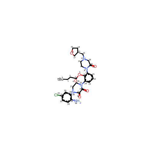 CC(C)(C)CCC(=O)Oc1c(N2CCN(C[C@@H]3CCOC3)CC2=O)cccc1N1CCN(c2cc(Cl)ccc2N)C(=O)C1=O